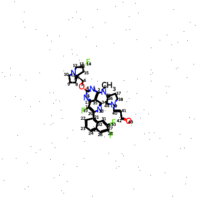 CN(c1nc(OC[C@@]23CCCN2C[C@H](F)C3)nc2c(F)c(-c3cccc4cc(F)c(F)cc34)ncc12)[C@@H]1CCN(C=CC=O)C1